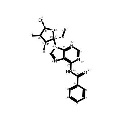 CC[C@H]1O[C@@](CBr)(n2cnc3c(NC(=O)c4ccccc4)ncnc32)[C@@H](C)C1C